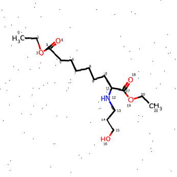 CCOC(=O)CCCCCCC(NCCCO)C(=O)OCC